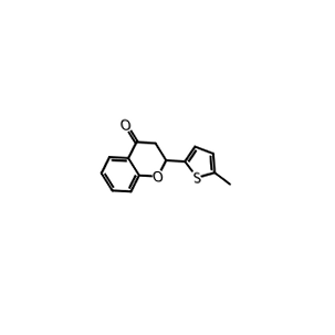 Cc1ccc(C2CC(=O)c3ccccc3O2)s1